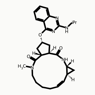 CC(C)Nc1nc(O[C@@H]2C[C@H]3C(=O)N[C@@H]4C[C@H]4/C=C\CCCCN(C)C(=O)[C@@H]3C2)c2ccccc2n1